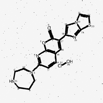 O=c1oc2nc(N3CCCNCC3)ccc2cc1-c1cn2ccsc2n1.OCl